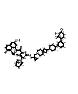 C#Cc1c(F)ccc2cc(O)cc(-c3ncc4c(N5CC6CCC(C5)N6)nc(OCC5(CN6CCC7(CC6)CC(C6CCC(c8cccc(C9CCC(=O)NC9=O)c8)CC6)C7)CC5)nc4c3F)c12